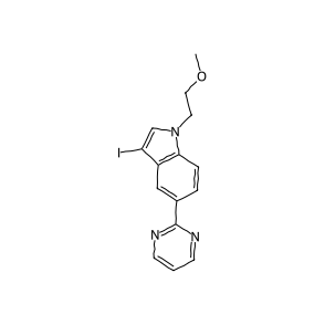 COCCn1cc(I)c2cc(-c3ncccn3)ccc21